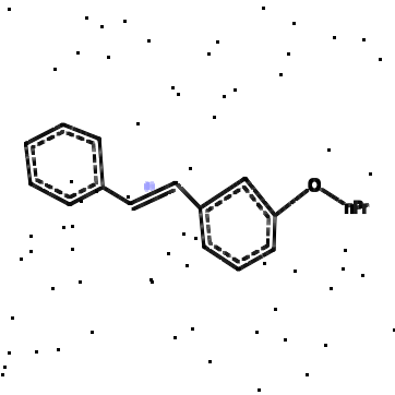 CCCOc1cccc(/C=C/c2ccccc2)c1